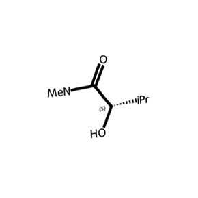 CNC(=O)[C@@H](O)C(C)C